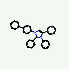 [c]1ccc(-c2ccc(N3C=C(c4ccccc4)N(c4ccccc4)C3c3ccccc3)cc2)cc1